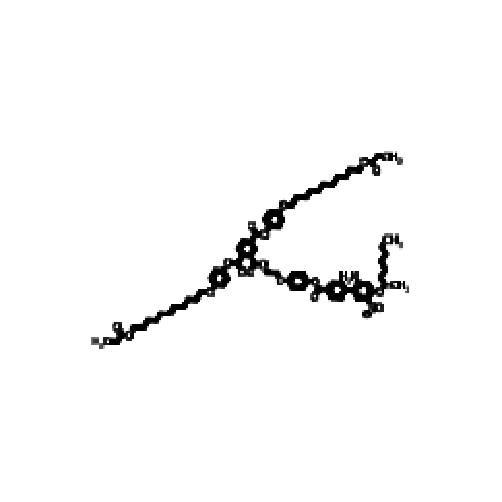 C=CC(=O)OCCCCCCCCCCCOc1ccc(OC(=O)c2ccc(C(=O)Oc3ccc(OCCCCCCCCCCCOC(=O)C=C)cc3)c(C(=O)OCCOc3ccc(OC(=O)c4ccc(-c5cc([N+](=O)[O-])c(O[C@@H](C)CCCCCC)cc5N)cc4)cc3)c2)cc1